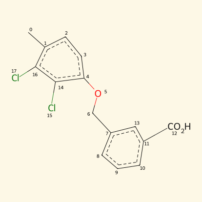 Cc1ccc(OCc2cccc(C(=O)O)c2)c(Cl)c1Cl